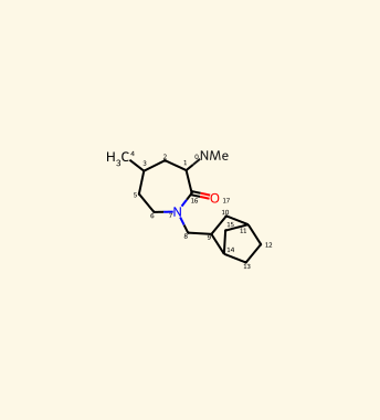 CNC1CC(C)CCN(CC2CC3CCC2C3)C1=O